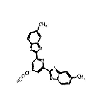 CC1=CC2=NC(c3cccc(C4=NC5C=CC(C)=CC5=N4)n3)=NC2C=C1.[Cl-].[Cl-].[Cl-].[V+3]